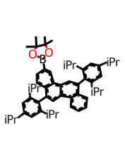 CC(C)c1cc(C(C)C)c(-c2cc3c4cc(B5OC(C)(C)C(C)(C)O5)ccc4c(-c4c(C(C)C)cc(C(C)C)cc4C(C)C)cc3c3ccccc23)c(C(C)C)c1